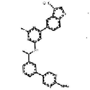 CNc1ncc(-c2cccc(C(C)Nc3cc(-c4ccc5occ(C=O)c5c4)nc(C)n3)c2)cn1